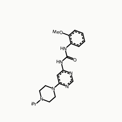 COc1ccccc1NC(=O)Nc1cc(N2CCN(C(C)C)CC2)ncn1